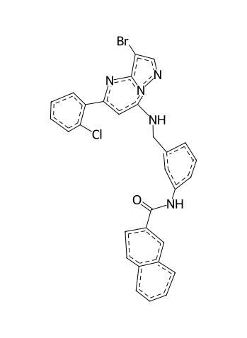 O=C(Nc1cccc(CNc2cc(-c3ccccc3Cl)nc3c(Br)cnn23)c1)c1ccc2ccccc2c1